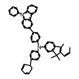 C/C=C\C1=C(C)c2ccc(N(c3ccc(-c4ccc5c(c4)c4ccccc4n5-c4ccccc4)cc3)c3ccc(C4C=CC=CC4)cc3)cc2C1(C)C